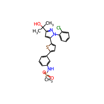 CC(C)(O)c1cc(-c2ccc(-c3cccc(NS(C)(=O)=O)c3)s2)n(-c2ccccc2Cl)n1